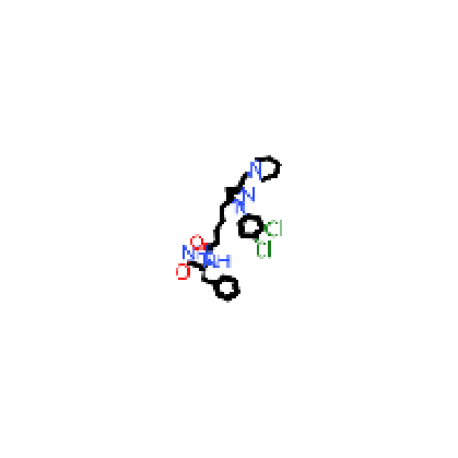 NC(=O)[C@H](Cc1ccccc1)NC(=O)CCCCc1cc(CN2CCCCC2)nn1-c1ccc(Cl)c(Cl)c1